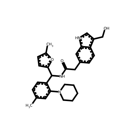 Cc1ccc(C(NC(=O)Cc2ccc3c(CO)c[nH]c3c2)c2ccc(C)o2)c(N2CCCCC2)c1